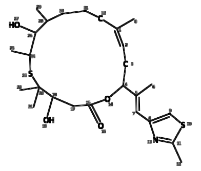 C/C1=C/CC(/C(C)=C/c2csc(C)n2)OC(=O)CC(O)C(C)(C)SC(C)C(O)C(C)CCC1